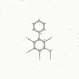 IOc1c(I)c(I)c(I)c(-c2ccccc2)c1I